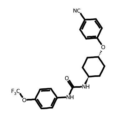 N#Cc1ccc(O[C@H]2CC[C@H](NC(=O)Nc3ccc(OC(F)(F)F)cc3)CC2)cc1